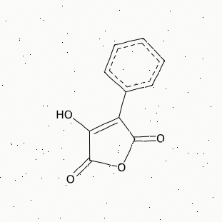 O=C1OC(=O)C(c2ccccc2)=C1O